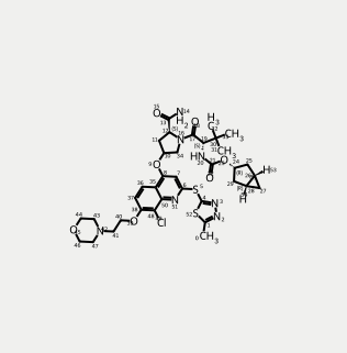 Cc1nnc(Sc2cc(OC3C[C@@H](C(N)=O)N(C(=O)[C@@H](NC(=O)O[C@@H]4C[C@@H]5C[C@@H]5C4)C(C)(C)C)C3)c3ccc(OCCN4CCOCC4)c(Cl)c3n2)s1